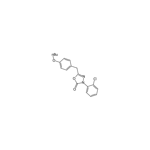 CCCCOc1ccc(Cc2nn(-c3ccccc3Cl)c(=O)o2)cc1